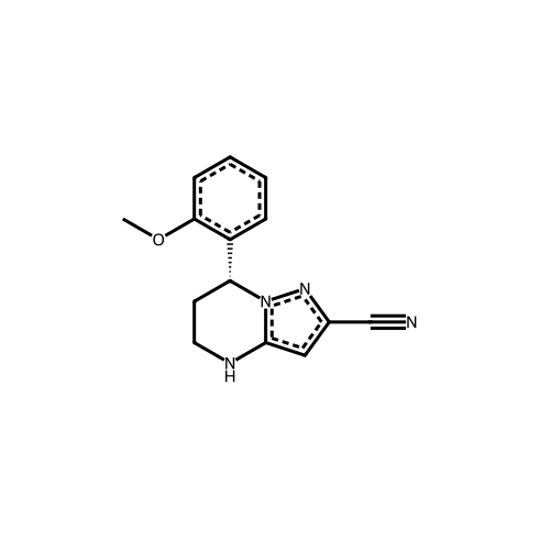 COc1ccccc1[C@H]1CCNc2cc(C#N)nn21